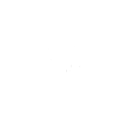 COc1cc(B(O)O)cc(C2COc3ccccc3O2)c1